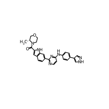 C[C@@H]1COCCN1C(=O)c1cc2ccc(-c3nccc(Nc4ccc(-c5cn[nH]c5)cc4)n3)cc2[nH]1